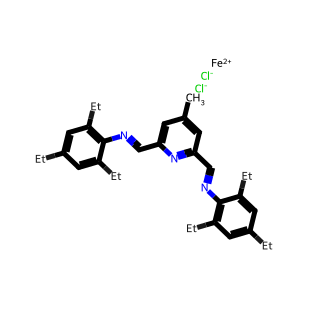 CCc1cc(CC)c(N=Cc2cc(C)cc(C=Nc3c(CC)cc(CC)cc3CC)n2)c(CC)c1.[Cl-].[Cl-].[Fe+2]